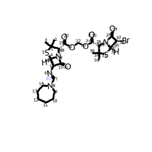 CC1(C)S[C@@H]2C(/N=C/N3CCCCCC3)C(=O)N2[C@H]1C(=O)OCOC(=O)[C@@H]1N2C(=O)[C@@H](Br)[C@H]2SC1(C)C